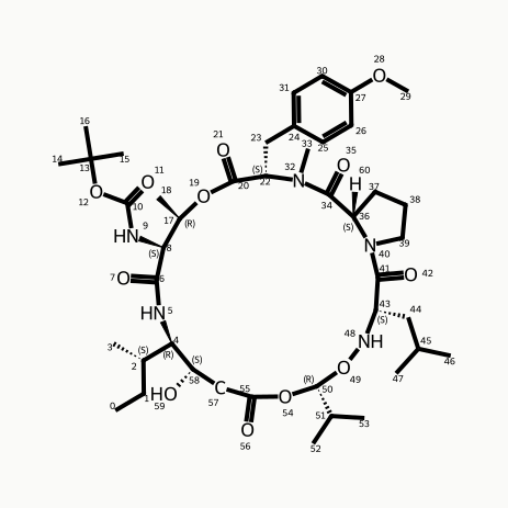 CC[C@H](C)[C@H]1NC(=O)[C@@H](NC(=O)OC(C)(C)C)[C@@H](C)OC(=O)[C@H](Cc2ccc(OC)cc2)N(C)C(=O)[C@@H]2CCCN2C(=O)[C@H](CC(C)C)NO[C@H](C(C)C)OC(=O)C[C@@H]1O